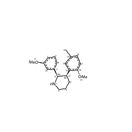 COc1cccc([C@@H]2NCCC[C@@H]2c2cc(C)ccc2OC)c1